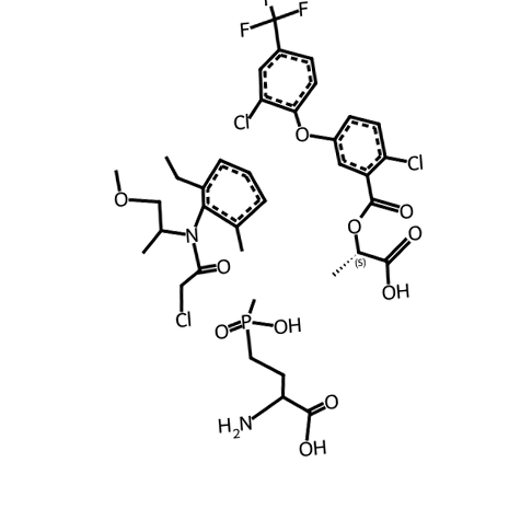 CCc1cccc(C)c1N(C(=O)CCl)C(C)COC.CP(=O)(O)CCC(N)C(=O)O.C[C@H](OC(=O)c1cc(Oc2ccc(C(F)(F)F)cc2Cl)ccc1Cl)C(=O)O